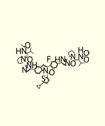 COC(=O)N[C@H](C(=O)N1CCC[C@H]1c1ncc(-c2cc(F)c3c(c2)O[C@@H](c2ccc(C4CC4)s2)n2c-3cc3cc(-c4cnc([C@@H]5CCCN5C(=O)[C@@H](NC(C)=O)C(C)C)[nH]4)ccc32)[nH]1)C(C)C